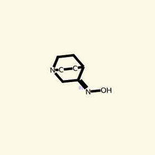 O/N=C1/CN2CCC1CC2